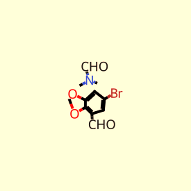 CN(C)C=O.O=Cc1cc(Br)cc2c1OCO2